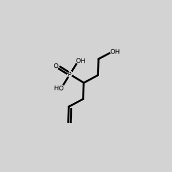 C=CCC(CCO)P(=O)(O)O